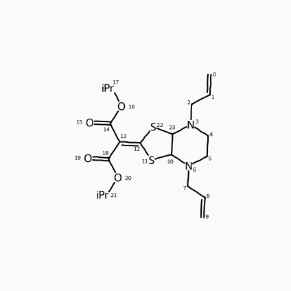 C=CCN1CCN(CC=C)C2SC(=C(C(=O)OC(C)C)C(=O)OC(C)C)SC21